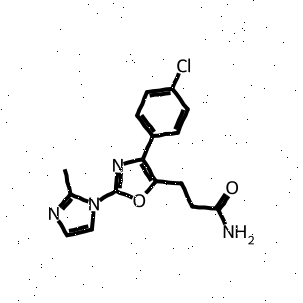 Cc1nccn1-c1nc(-c2ccc(Cl)cc2)c(CCC(N)=O)o1